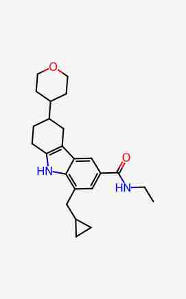 CCNC(=O)c1cc(CC2CC2)c2[nH]c3c(c2c1)CC(C1CCOCC1)CC3